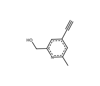 C#Cc1cc(C)nc(CO)c1